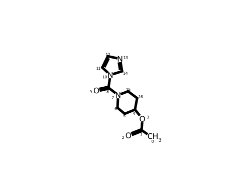 CC(=O)OC1CCN(C(=O)n2ccnc2)CC1